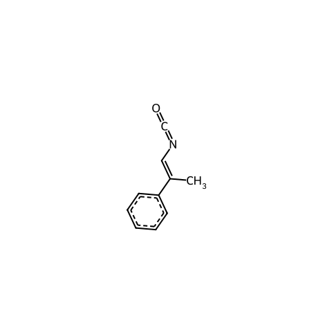 CC(=CN=C=O)c1ccccc1